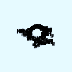 C[C@@H](O)[C@@H]1NC(=O)[C@H](CCCCN)N(c2c[nH]c3ccccc23)C(=O)CNC(=O)[C@H](Cc2ccc(O)cc2)NC(=O)CCSSCCNC1=O